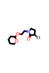 CCC1CCN(CCOC2CCCCO2)C1=O